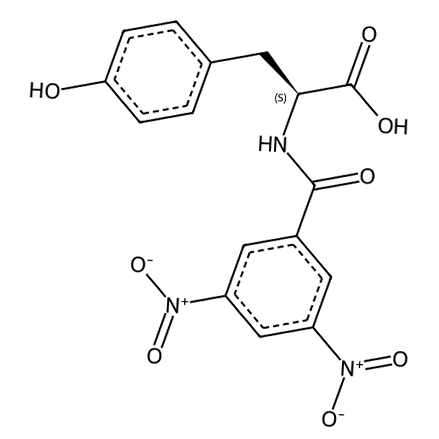 O=C(N[C@@H](Cc1ccc(O)cc1)C(=O)O)c1cc([N+](=O)[O-])cc([N+](=O)[O-])c1